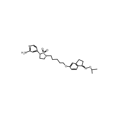 CC(C)O/N=C1\CCc2cc(OCCCCCN3CCN(c4ccnc(N)c4)S3(=O)=O)ccc21